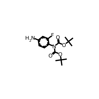 CC(C)(C)OC(=O)N(C(=O)OC(C)(C)C)c1ccc(N)cc1F